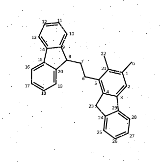 Cc1cc2c(c(CCC3c4ccccc4-c4ccccc43)c1C)[CH]c1ccccc1-2